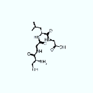 CC(C)C[C@H](NC(=O)CNC(=O)[C@@H](N)CO)C(=O)NCC(=O)O